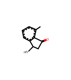 CCCC1CC(=O)c2c(C)cccc21